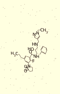 CCCc1cc(C(=O)N[C@@H](Cc2ccccc2)[C@H](O)CNCc2cnn(CC)c2)c(F)c(N2CCCS2(=O)=O)c1